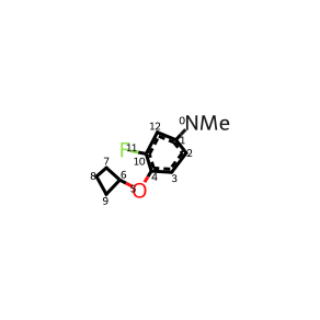 CNc1ccc(OC2CCC2)c(F)c1